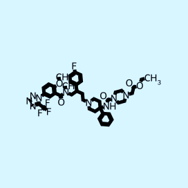 CCOC(=O)CN1CCN(C(=O)NC2(c3ccccc3)CCN(CCC(CN(C)C(=O)c3cc(-n4nnnc4C(F)(F)F)ccc3OC)c3ccc(F)cc3)CC2)CC1